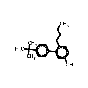 CCCCc1ccc(O)cc1-c1ccc(C(C)(C)C)cc1